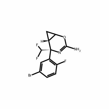 NC1=N[C@](c2cc(Br)ccc2F)(C(F)F)[C@@H]2CC2O1